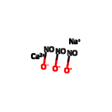 O=N[O-].O=N[O-].O=N[O-].[Ca+2].[Na+]